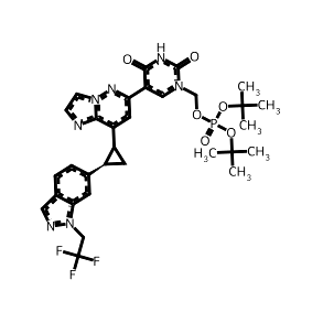 CC(C)(C)OP(=O)(OCn1cc(-c2cc(C3C[C@H]3c3ccc4cnn(CC(F)(F)F)c4c3)c3nccn3n2)c(=O)[nH]c1=O)OC(C)(C)C